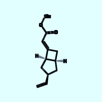 C=C[C@@H]1C[C@@H]2CC(=CC(=O)OC(C)(C)C)[C@@H]2C1